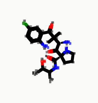 CC(C)C(NC(=O)[C@@]1(C(=O)[C@@H](N)C(C)(C)C(=O)c2cc(Cl)ccc2N)CCCN1)C(O)C(F)(F)F